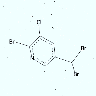 Clc1cc(C(Br)Br)cnc1Br